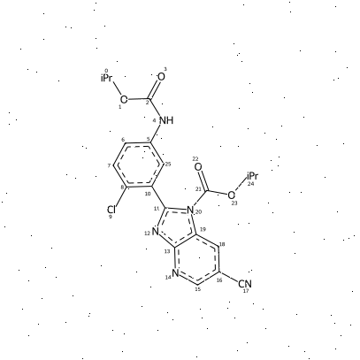 CC(C)OC(=O)Nc1ccc(Cl)c(-c2nc3ncc(C#N)cc3n2C(=O)OC(C)C)c1